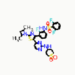 CC1CC(C)N1c1nc(-c2cccc(NS(=O)(=O)c3c(F)cccc3F)c2F)c(-c2ccnc(NC3CCS(=O)(=O)CC3)n2)s1